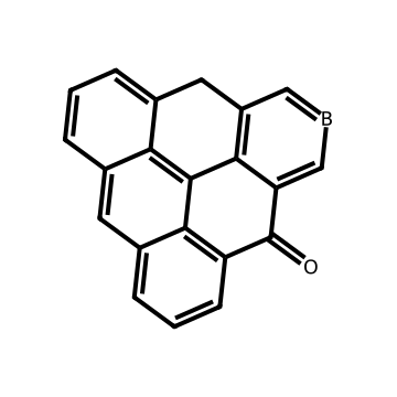 O=C1c2cbcc3c2-c2c4c(cccc4cc4cccc1c24)C3